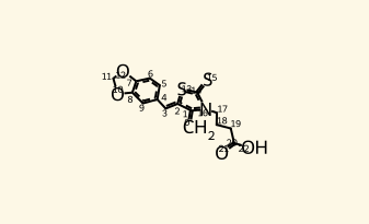 C=c1/c(=C/c2ccc3c(c2)OCO3)sc(=S)n1CCCC(=O)O